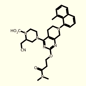 Cc1cccc2cccc(N3CCc4c(nc(OCCC(=O)N(C)C)nc4N4CCN(C(=O)O)C(CC#N)C4)C3)c12